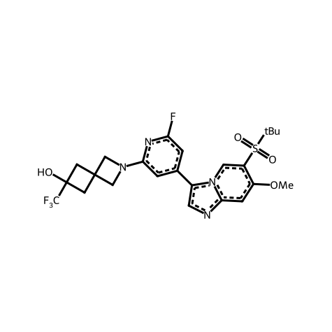 COc1cc2ncc(-c3cc(F)nc(N4CC5(C4)CC(O)(C(F)(F)F)C5)c3)n2cc1S(=O)(=O)C(C)(C)C